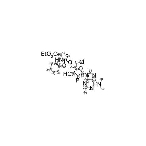 CCOC(=O)[C@@H](C)N[P@](=S)(OC[C@@]1(CCl)O[C@@H](n2cnc3c(N(C)C)nc(C)nc32)[C@H](F)[C@@H]1O)Oc1ccccc1